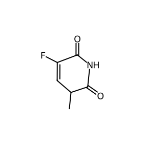 CC1C=C(F)C(=O)NC1=O